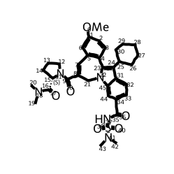 COc1ccc2c(c1)C=C(C(=O)N1CCC[C@H]1C(=O)N(C)C)Cn1c-2c(C2CCCCC2)c2ccc(C(=O)NS(=O)(=O)N(C)C)cc21